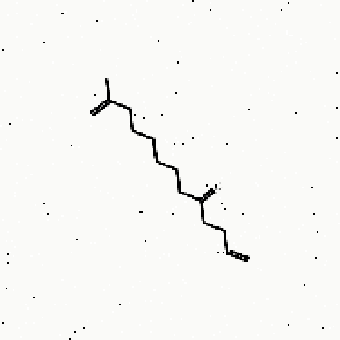 C=CCCC(=O)CCCCCCC(=C)C